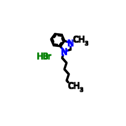 Br.CCCCCCN1CN(C)c2ccccc21